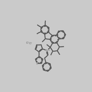 Cc1cc2c(c(C)c1C)C(C)c1c3c(c4ccccc4c1-2)C(C)C(C)C(C)[C]3(C)[Zr+2](=[CH]Cc1ccccc1)[C]1=C(c2ccsc2)C=CC1.[Cl-].[Cl-]